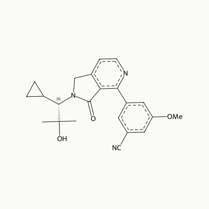 COc1cc(C#N)cc(-c2nccc3c2C(=O)N([C@@H](C2CC2)C(C)(C)O)C3)c1